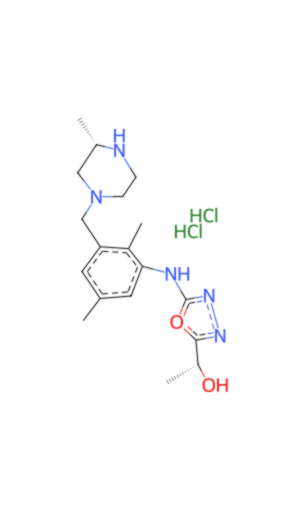 Cc1cc(CN2CCN[C@@H](C)C2)c(C)c(Nc2nnc([C@@H](C)O)o2)c1.Cl.Cl